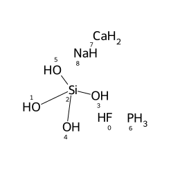 F.O[Si](O)(O)O.P.[CaH2].[NaH]